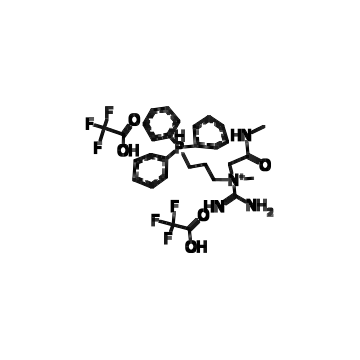 CNC(=O)C[N+](C)(CCC[PH](c1ccccc1)(c1ccccc1)c1ccccc1)C(=N)N.O=C(O)C(F)(F)F.O=C(O)C(F)(F)F